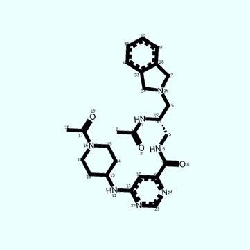 CC(=O)N[C@@H](CNC(=O)c1cc(NC2CCN(C(C)=O)CC2)ncn1)CN1Cc2ccccc2C1